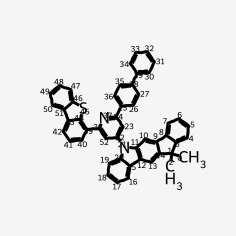 CC1(C)c2ccccc2-c2cc3c(cc21)c1ccccc1n3-c1cc(-c2ccc(-c3ccccc3)cc2)nc(-c2cccc3c2sc2ccccc23)c1